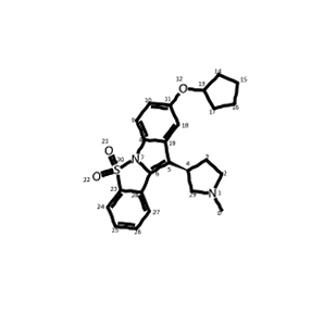 CN1CC[C@H](c2c3n(c4ccc(OC5CCCC5)cc24)S(=O)(=O)c2ccccc2-3)C1